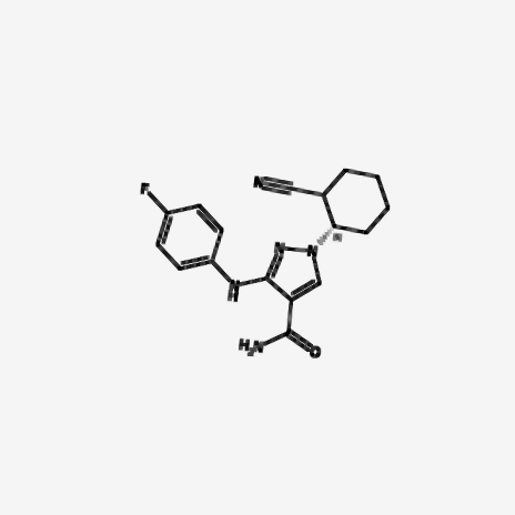 N#CC1CCCC[C@@H]1n1cc(C(N)=O)c(Nc2ccc(F)cc2)n1